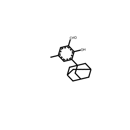 Cc1cc(C=O)c(O)c(C23CC4CC(CC(C4)C2)C3)c1